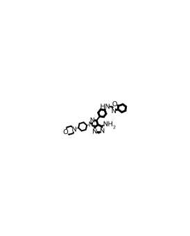 Nc1ncnc2c1c(-c1ccc(Nc3nc4ccccc4o3)cc1)nn2[C@H]1CC[C@@H](N2CCOCC2)CC1